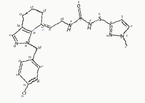 Cn1ccc(SNC(=O)NC/C=C2\CCCc3cnn(Cc4ccc(Cl)cc4)c32)n1